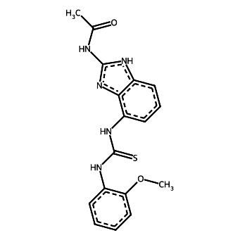 COc1ccccc1NC(=S)Nc1cccc2[nH]c(NC(C)=O)nc12